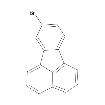 Brc1ccc2c(c1)-c1cccc3cccc-2c13